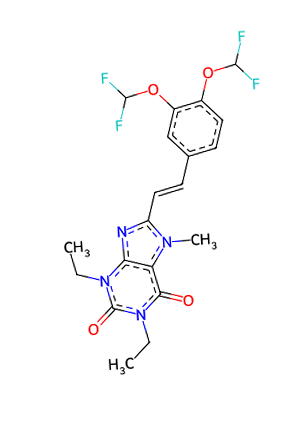 CCn1c(=O)c2c(nc(/C=C/c3ccc(OC(F)F)c(OC(F)F)c3)n2C)n(CC)c1=O